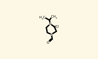 CC(C)N1CCN(C=O)CC1.Cl